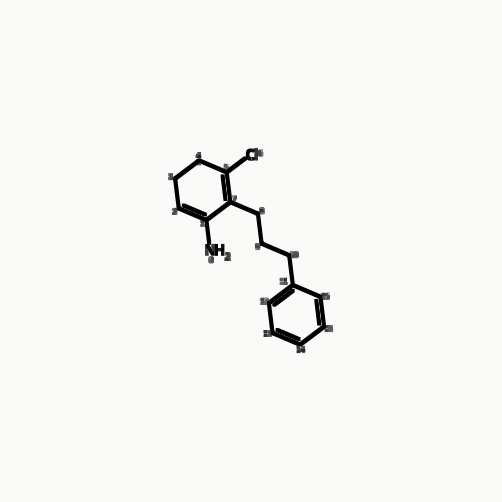 NC1=CC[CH]C(Cl)=C1CCCc1ccccc1